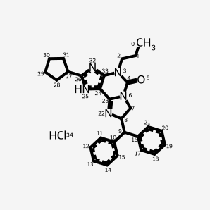 CCCN1C(=O)N2CC(C(c3ccccc3)c3ccccc3)N=C2c2[nH]c(C3CCCC3)nc21.Cl